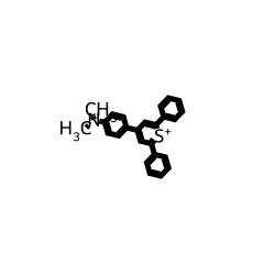 CN(C)c1ccc(-c2cc(-c3ccccc3)[s+]c(-c3ccccc3)c2)cc1